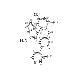 NC1=N[C@@]2(c3cc(-c4cccnc4F)ccc3Oc3c2cc(Cl)nc3F)c2cnccc21